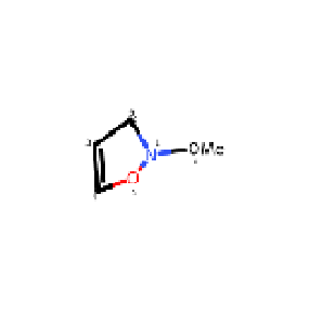 CON1[C]C=CO1